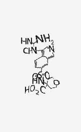 N=C(N)N(Cl)c1cncc2cc(S(=O)(=O)NC3(C(=O)O)CCOCC3)ccc12